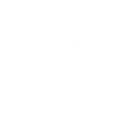 O=C1OC2(c3ccccc31)c1cc(Br)c([O-])c(Br)c1Oc1c2cc(Br)c([O-])c1Br.[Pb+2]